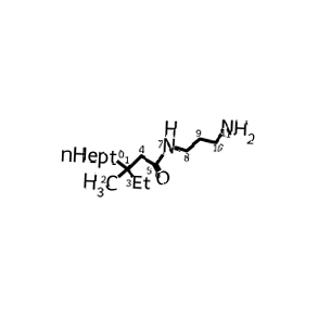 CCCCCCCC(C)(CC)CC(=O)NCCCN